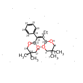 CC/C(B1OCC(C)(C)CO1)=C(/B1OCC(C)(C)CO1)c1ccccc1